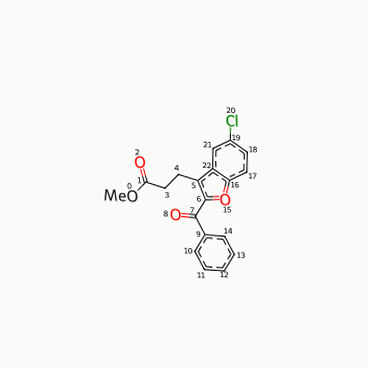 COC(=O)CCc1c(C(=O)c2ccccc2)oc2ccc(Cl)cc12